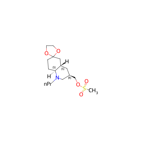 CCCN1C[C@H](COS(C)(=O)=O)C[C@H]2CC3(CC[C@@H]21)OCCO3